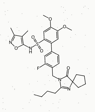 CCCCC1=NC2(CCCC2)C(=O)N1Cc1ccc(-c2cc(OC)c(OC)cc2S(=O)(=O)Nc2onc(C)c2C)cc1F